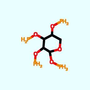 POC1COC(OP)C(OP)C1OP